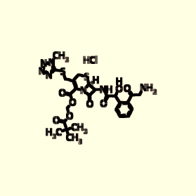 Cl.Cn1nnnc1SCC1=C(C(=O)OCOC(=O)C(C)(C)C)N2C(=O)C(NC(=O)C(O)c3ccccc3C(=O)CN)[C@@H]2SC1